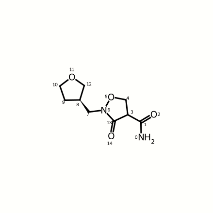 NC(=O)C1CON(C[C@H]2CCOC2)C1=O